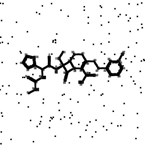 CNC(=O)NC(C(=O)N[C@]1(OC)C(=O)N2C(C(=O)O)=C(CSc3ccc[n+]([O-])n3)CSC21)c1cccs1